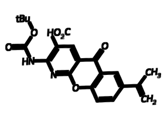 C=C(C)c1ccc2oc3nc(NC(=O)OC(C)(C)C)c(C(=O)O)cc3c(=O)c2c1